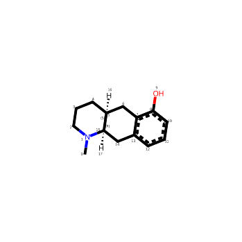 CN1CCC[C@H]2Cc3c(O)cccc3C[C@H]21